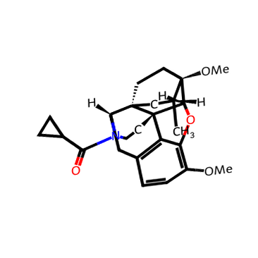 COc1ccc2c3c1O[C@H]1[C@@]4(OC)CC[C@@]5(C[C@H]4C)[C@@H](C2)N(C(=O)C2CC2)CC[C@]315